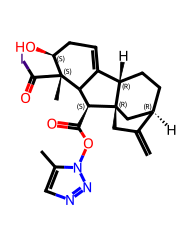 C=C1C[C@]23C[C@H]1CC[C@H]2C1=CC[C@H](O)[C@@](C)(C(=O)I)C1[C@@H]3C(=O)On1nncc1C